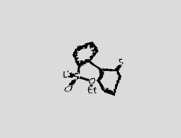 CCOS(=O)(=O)c1ccccc1C1=CC=CCC1=S